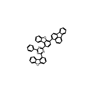 c1ccc(-c2nc(-c3cccc4oc5ccccc5c34)nc(-c3ccc(-c4ccc5c6c(cccc46)-c4ccccc4-5)c4oc5ccccc5c34)n2)cc1